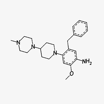 COc1cc(N2CCC(N3CCN(C)CC3)CC2)c(Cc2ccccc2)cc1N